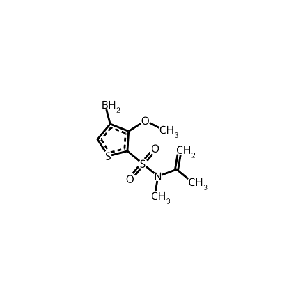 Bc1csc(S(=O)(=O)N(C)C(=C)C)c1OC